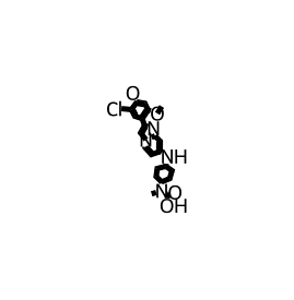 COc1cc(OC)c(-c2cn3ccc(NC4CCC(N(C)C(=O)O)CC4)cc3n2)cc1Cl